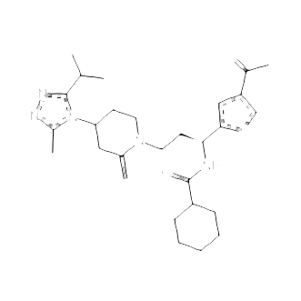 C=C1CC(n2c(C)nnc2C(C)C)CCN1CC[C@H](NC(=O)C1CCCCC1)c1cc(C(C)=O)cs1